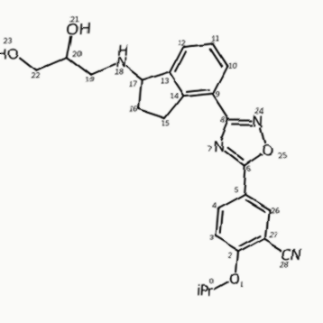 CC(C)Oc1ccc(-c2nc(-c3cccc4c3CCC4NCC(O)CO)no2)cc1C#N